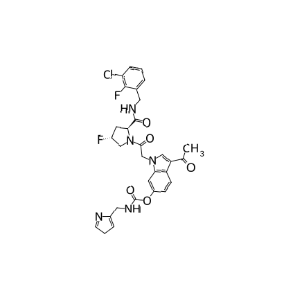 CC(=O)c1cn(CC(=O)N2C[C@H](F)C[C@H]2C(=O)NCc2cccc(Cl)c2F)c2cc(OC(=O)NCC3=CCC=N3)ccc12